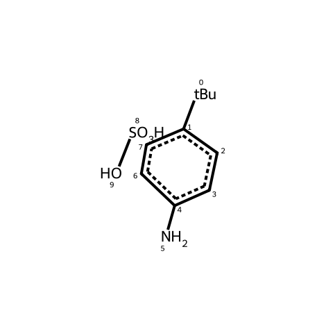 CC(C)(C)c1ccc(N)cc1.O=S(=O)(O)O